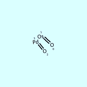 [O]=[Os].[O]=[Pd]